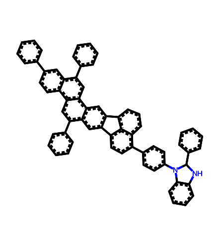 c1ccc(-c2ccc3c(c2)c(-c2ccccc2)cc2c4cc5c(cc4c(-c4ccccc4)cc32)-c2ccc(-c3ccc(N4c6ccccc6NC4c4ccccc4)cc3)c3cccc-5c23)cc1